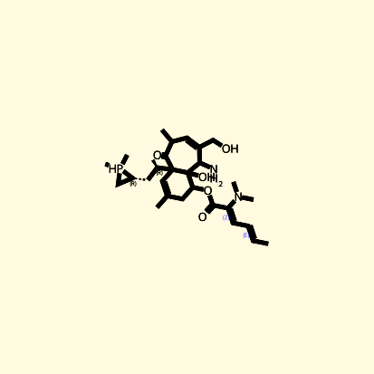 C/C=C/C=C(/C(=O)OC1CC(C)=CC2([C@H](C)C[C@@H]3C[PH]3(C)C)C(=O)C(C)C=C(CO)C(N)C12O)N(C)C